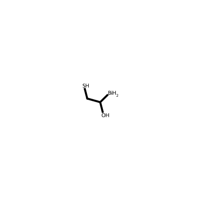 O[CH]([BiH2])CS